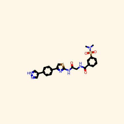 CN(C)S(=O)(=O)c1cccc(C(=O)NCC(=O)Nc2nc(-c3ccc(-c4cn[nH]c4)cc3)cs2)c1